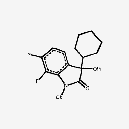 CCN1C(=O)C(O)(C2CCCCC2)c2ccc(F)c(F)c21